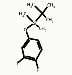 CC(C)(C)[Si](C)(C)Oc1ccc(F)c(I)c1